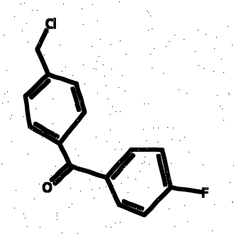 O=C(c1ccc(F)cc1)c1ccc(CCl)cc1